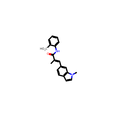 C/C(=C\c1ccc2ccn(C)c2c1)C(=O)Nc1ccccc1C(=O)O